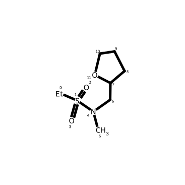 CCS(=O)(=O)N(C)CC1CCCO1